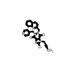 CC#CCn1c(Cl)nc2c(=O)n(Cc3ccncc3)n(Cc3ccc4ccccc4n3)c(=O)c21